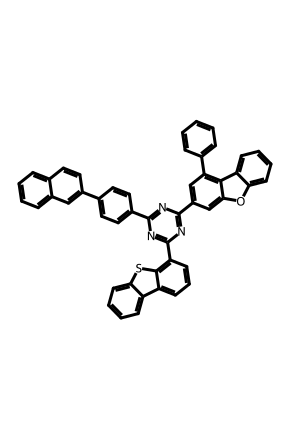 c1ccc(-c2cc(-c3nc(-c4ccc(-c5ccc6ccccc6c5)cc4)nc(-c4cccc5c4sc4ccccc45)n3)cc3oc4ccccc4c23)cc1